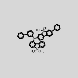 C[Si]1(C)c2cc(-c3ccccc3)ccc2-c2ccc(N(c3cccc(-c4ccccc4)c3)c3cccc4c3-c3ccccc3[Si]4(C)C)cc21